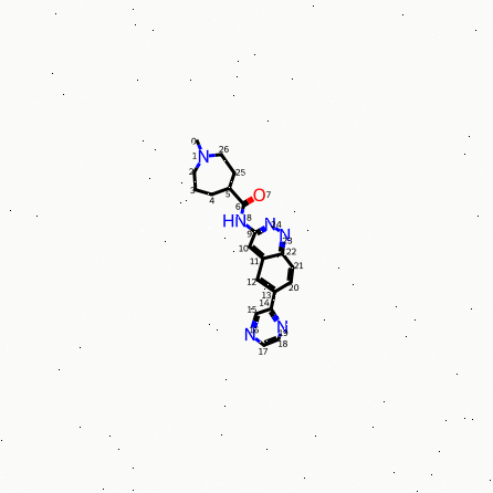 CN1CCCC(C(=O)Nc2cc3cc(-c4cnccn4)ccc3nn2)CC1